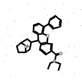 CCN(CC)C(=O)c1ccc2c(c1)Oc1c(-c3ccccc3)cccc1C2C1CC2CCC(C1)N2